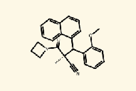 COc1ccccc1C(c1cccc2ccccc12)[C@@](C)(C#N)C(=O)N1CCC1